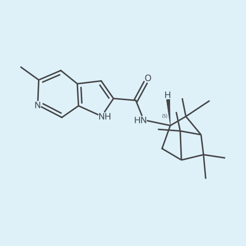 Cc1cc2cc(C(=O)N[C@H]3CC4C(C)(C)C(C4(C)C)C3(C)C)[nH]c2cn1